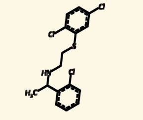 CC(NCCSc1cc(Cl)ccc1Cl)c1ccccc1Cl